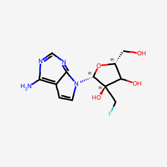 Nc1ncnc2c1ccn2[C@@H]1O[C@H](CO)C(O)[C@]1(O)CF